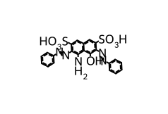 Nc1c(/N=N/c2ccccc2)c(S(=O)(=O)O)cc2cc(S(=O)(=O)O)c(/N=N/c3ccccc3)c(O)c12